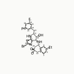 CCc1ccc2c(c1)C(NCC(O)C(Cc1cc(F)cc(F)c1)Nc1cnc(Br)s1)CS(=O)(=O)C2